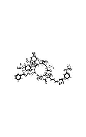 CC[C@H]1OC(=O)[C@H](C)[C@@H](O[C@H]2C[C@@](C)(OC)[C@@H](OC(=O)c3ccccc3)[C@H](C)O2)[C@H](C)[C@@H](O[C@@H]2O[C@H](C)C[C@H](N(C)C)[C@H]2C)[C@@](C)(OC)C[C@@H](C)C(=O)[C@H](C)[C@@H]2N(CCCCn3cc(-c4cccc(NC(=O)C(F)(F)F)c4)nn3)C(=O)O[C@@]21C